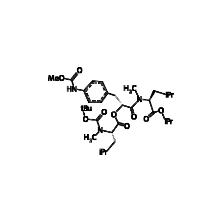 COC(=O)Nc1ccc(C[C@@H](OC(=O)[C@H](CC(C)C)N(C)C(=O)OC(C)(C)C)C(=O)N(C)[C@@H](CC(C)C)C(=O)OC(C)C)cc1